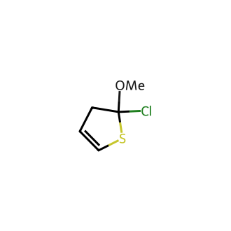 [CH2]OC1(Cl)CC=CS1